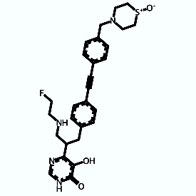 O=c1[nH]cnc(C(CNCCF)Cc2ccc(C#Cc3ccc(CN4CC[S+]([O-])CC4)cc3)cc2)c1O